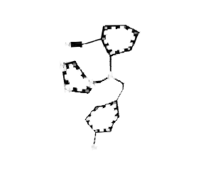 N#Cc1ccccc1N(Cc1ccc(Br)cc1)n1cnnc1